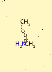 CCCCCCC1CCC(c2ccc(Cc3ccc(N)c(C)c3)cc2)CC1